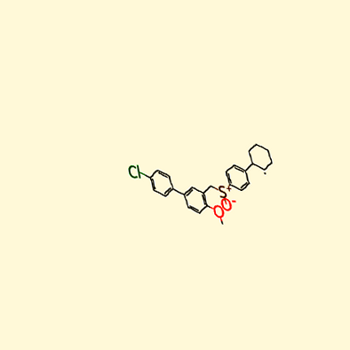 COc1ccc(-c2ccc(Cl)cc2)cc1C[S+]([O-])c1ccc(C2[CH]CCCC2)cc1